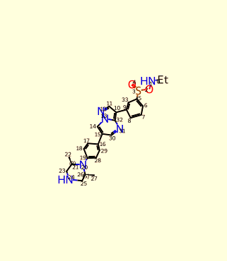 CCNOS(=O)c1cccc(-c2cnn3cc(-c4ccc(N5[C@H](C)CNC[C@@H]5C)cc4)cnc23)c1